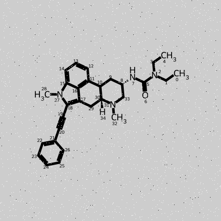 CCN(CC)C(=O)N[C@H]1CC2c3cccc4c3c(c(C#Cc3ccccc3)n4C)C[C@H]2N(C)C1